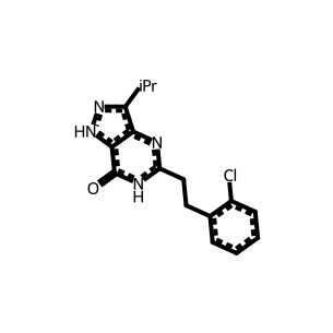 CC(C)c1n[nH]c2c(=O)[nH]c(CCc3ccccc3Cl)nc12